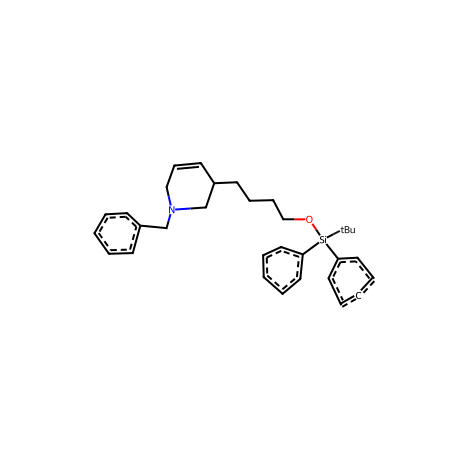 CC(C)(C)[Si](OCCCCC1C=CCN(Cc2ccccc2)C1)(c1ccccc1)c1ccccc1